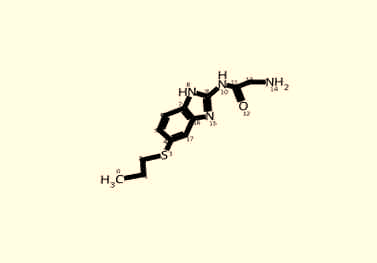 CCCSc1ccc2[nH]c(NC(=O)CN)nc2c1